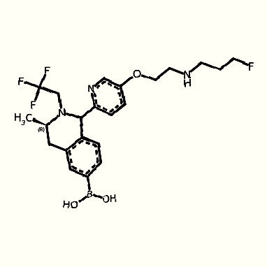 C[C@@H]1Cc2cc(B(O)O)ccc2C(c2ccc(OCCNCCCF)cn2)N1CC(F)(F)F